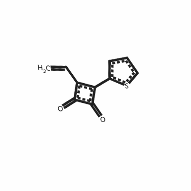 C=Cc1c(-c2cccs2)c(=O)c1=O